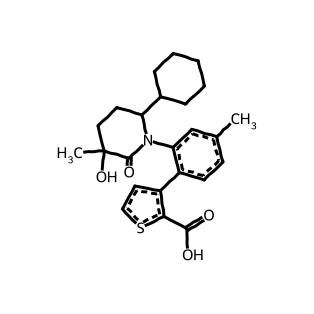 Cc1ccc(-c2ccsc2C(=O)O)c(N2C(=O)C(C)(O)CCC2C2CCCCC2)c1